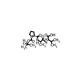 CC(C)[C@H](NC(=O)[C@H](C)NC(=O)[C@@H]1CCCN1C(=O)OC(C)(C)C)C(=O)O